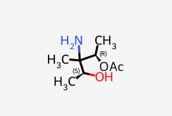 CC(=O)O[C@H](C)C(C)(N)[C@H](C)O